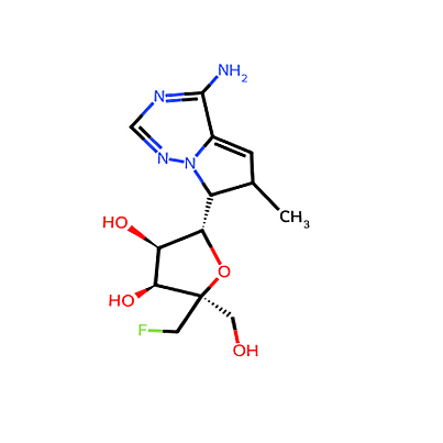 CC1C=C2C(N)=NC=NN2C1[C@@H]1O[C@@](CO)(CF)[C@@H](O)[C@H]1O